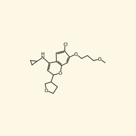 COCCCOc1cc2c(cc1Cl)C(NC1CC1)=CC(C1CCOC1)O2